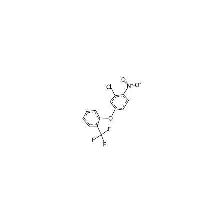 O=[N+]([O-])c1ccc(Oc2ccccc2C(F)(F)F)cc1Cl